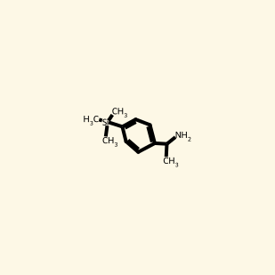 CC(N)c1ccc([Si](C)(C)C)cc1